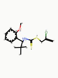 C=C(Cl)CSC(=S)NC(c1ccccc1OC)C(C)(C)C